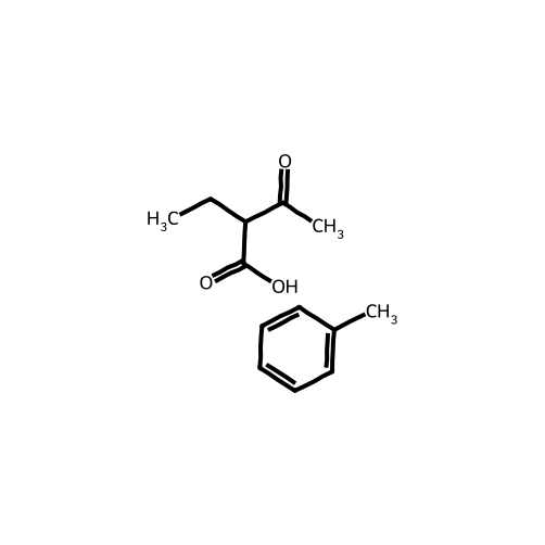 CCC(C(C)=O)C(=O)O.Cc1ccccc1